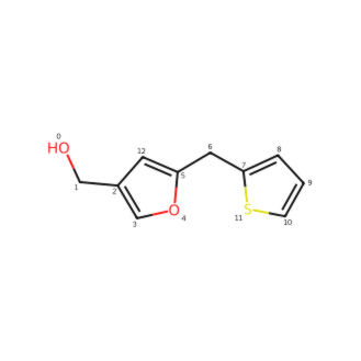 OCc1coc(Cc2cccs2)c1